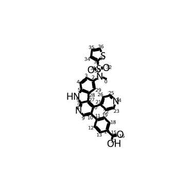 CN(c1ccc2[nH]c3ncc(-c4ccc(C(=O)O)cc4)c(-c4ccncc4)c3c2c1)S(=O)(=O)c1cccs1